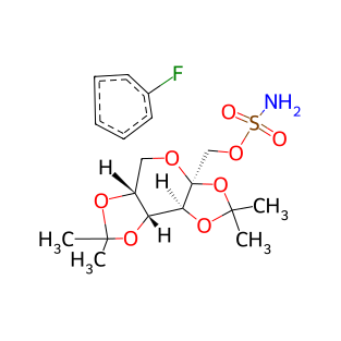 CC1(C)O[C@@H]2[C@@H](CO[C@@]3(COS(N)(=O)=O)OC(C)(C)O[C@@H]23)O1.Fc1ccccc1